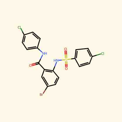 O=C(Nc1ccc(Cl)cc1)c1cc(Br)ccc1NS(=O)(=O)c1ccc(Cl)cc1